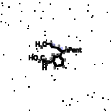 C/C=C/C=C(/CCCCC)c1cccc(F)c1.O=C(O)O